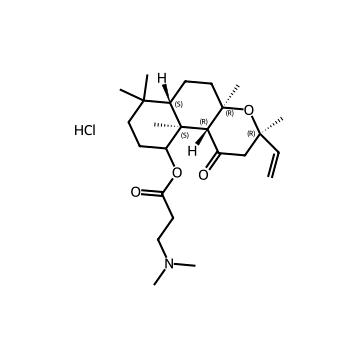 C=C[C@@]1(C)CC(=O)[C@@H]2[C@@]3(C)C(OC(=O)CCN(C)C)CCC(C)(C)[C@@H]3CC[C@@]2(C)O1.Cl